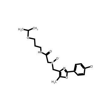 Cc1oc(-c2ccc(Cl)cc2)nc1C[S+]([O-])CC(=O)NCCCOC(C)C